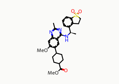 COC(=O)C1CCC(c2cc3c(N[C@H](C)c4cccc5c4CCS5(=O)=O)nc(C)nc3cc2OC)CC1